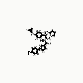 O=C(N[C@H](CN1CCCC1)[C@H](O)c1ccc(OC2CC2)cc1)C1CCN(c2ccc(F)cc2)C1